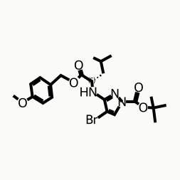 COc1ccc(COC(=O)[C@H](CC(C)C)Nc2nn(C(=O)OC(C)(C)C)cc2Br)cc1